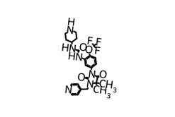 CC1(C)C(=O)N(c2ccc(OC(F)(F)F)c(NC(=O)NC3CCNCC3)c2)C(=O)N1Cc1ccncc1